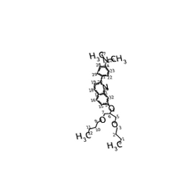 CCCCOCC(COCCCC)Oc1ccc2ccc(-c3ccc(N(C)C)cc3)nc2c1